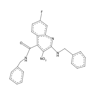 O=C(NCc1ccccc1)c1c([N+](=O)[O-])c(NCc2ccccc2)nc2cc(F)ccc12